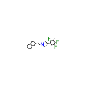 Cc1c(F)c(F)cc(C2=CCN(CCc3ccc4ccccc4c3)CC2)c1F